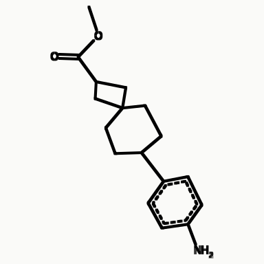 COC(=O)C1CC2(CCC(c3ccc(N)cc3)CC2)C1